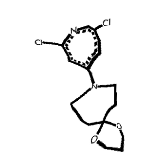 Clc1cc(N2CCC3(CC2)OCCO3)cc(Cl)n1